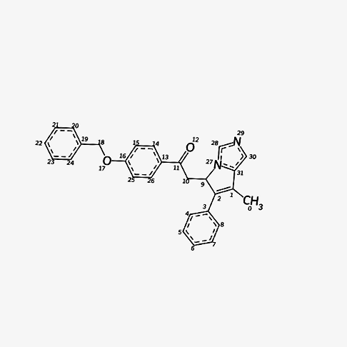 CC1=C(c2ccccc2)C(CC(=O)c2ccc(OCc3ccccc3)cc2)n2cncc21